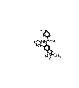 CC1(C)Cc2cc(NC(O)c3cccc(F)n3)c(N3CCOCC3)cc2O1